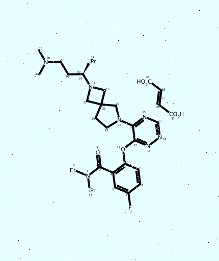 CCN(C(=O)c1cc(F)ccc1Oc1nncnc1N1CCC2(C1)CN([C@@H](CCN(C)C)C(C)C)C2)C(C)C.O=C(O)/C=C/C(=O)O